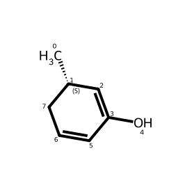 C[C@@H]1C=C(O)C=CC1